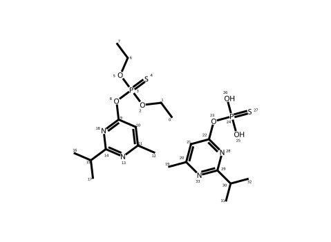 CCOP(=S)(OCC)Oc1cc(C)nc(C(C)C)n1.Cc1cc(OP(O)(O)=S)nc(C(C)C)n1